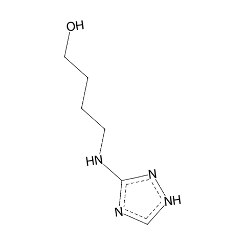 OCCCCNc1nc[nH]n1